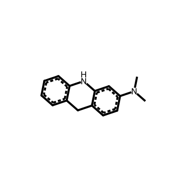 CN(C)c1ccc2c(c1)Nc1ccccc1C2